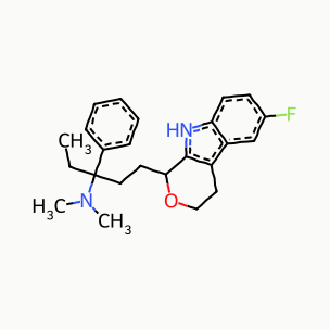 CCC(CCC1OCCc2c1[nH]c1ccc(F)cc21)(c1ccccc1)N(C)C